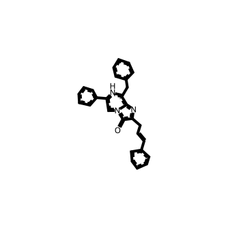 O=c1c(CC=Cc2ccccc2)nc2c(Cc3ccccc3)[nH]c(-c3ccccc3)cn1-2